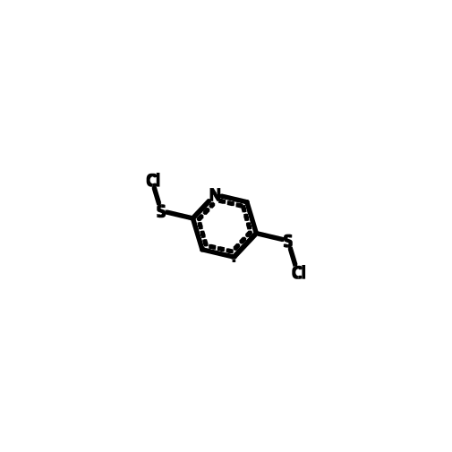 ClSc1[c]cc(SCl)nc1